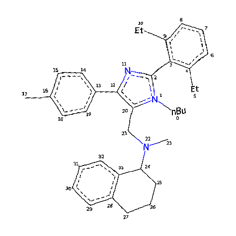 CCCCn1c(-c2c(CC)cccc2CC)nc(-c2ccc(C)cc2)c1CN(C)C1CCCc2ccccc21